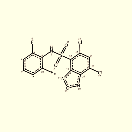 O=S(=O)(Nc1c(F)cccc1F)c1c(Cl)cc(Cl)c2nonc12